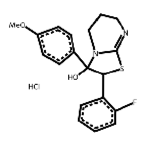 COc1ccc(C2(O)C(c3ccccc3F)SC3=NCCCN32)cc1.Cl